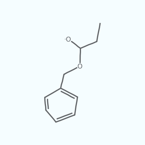 CCC([O])OCc1ccccc1